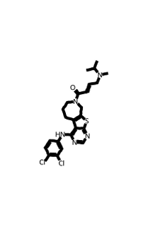 CC(C)N(C)C/C=C/C(=O)N1CCCc2c(sc3ncnc(Nc4ccc(Cl)c(Cl)c4)c23)C1